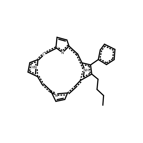 CCCCc1c(-c2ccccc2)c2cc3nc(cc4ccc(cc5nc(cc1[nH]2)C=C5)[nH]4)C=C3